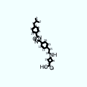 CC(C)Cc1ccc(-c2nc(-c3ccc(CCNC4CC(C(=O)O)C4)cc3)no2)cc1